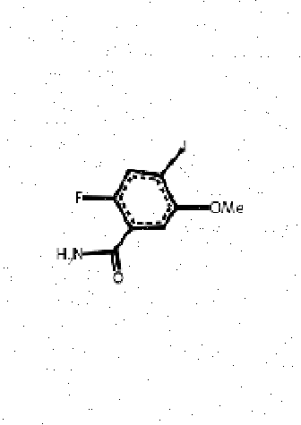 COc1cc(C(N)=O)c(F)cc1I